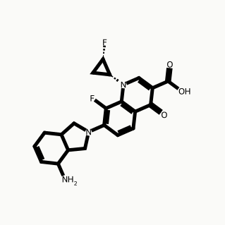 NC1C=CCC2CN(c3ccc4c(=O)c(C(=O)O)cn([C@@H]5C[C@@H]5F)c4c3F)CC12